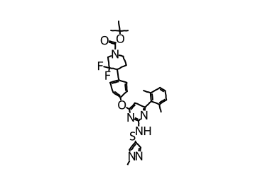 Cc1cccc(C)c1-c1cc(Oc2ccc(C3CCN(C(=O)OC(C)(C)C)CC3(F)F)cc2)nc(NSc2cnn(C)c2)n1